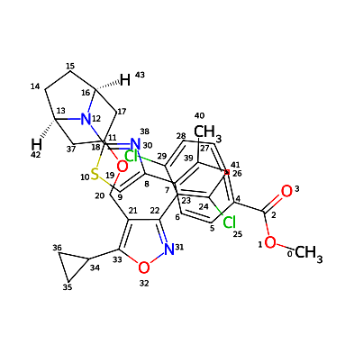 COC(=O)c1ccc(-c2csc(N3[C@@H]4CC[C@H]3CC(OCc3c(-c5c(Cl)cccc5Cl)noc3C3CC3)C4)n2)c(C)c1